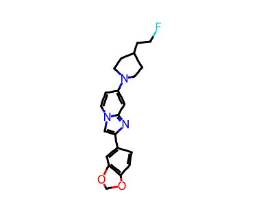 FCCC1CCN(c2ccn3cc(-c4ccc5c(c4)OCO5)nc3c2)CC1